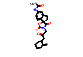 C=C1CCCCC1CC(=O)CN1C(=O)O[C@@]2(CCc3cc(NC(=O)NC)ccc32)C1=O